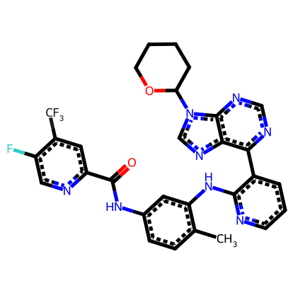 Cc1ccc(NC(=O)c2cc(C(F)(F)F)c(F)cn2)cc1Nc1ncccc1-c1ncnc2c1ncn2C1CCCCO1